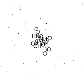 O=C(CCC(=O)N1Cc2ccccc2CC1C(=O)NC1(C(=O)Nc2ccc3c(c2)CCC3)CCN(C(=O)O)CC1)c1ccccc1